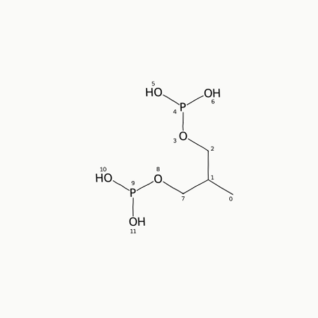 CC(COP(O)O)COP(O)O